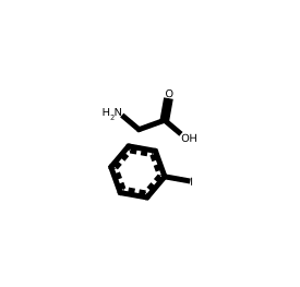 Ic1ccccc1.NCC(=O)O